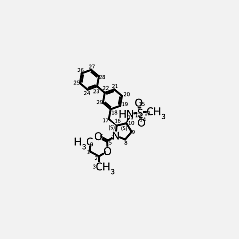 CCC(C)OC(=O)N1CC[C@H](NS(C)(=O)=O)[C@@H]1Cc1cccc(-c2ccccc2)c1